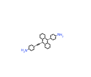 Nc1ccc(C#Cc2c3ccccc3c(-c3ccc(N)cc3)c3ccccc23)cc1